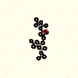 c1ccc(N(c2ccc3c(c2)N(c2cccc(-c4ccc5c(c4)c4cccc(N(c6ccccc6)c6ccc7c(c6)N(c6ccccc6)c6cccc8c6B7c6ccccc6N8c6ccccc6)c4n5-c4ccccc4)c2)c2cccc4c2B3c2ccccc2N4c2ccccc2)c2ccc3c(c2)c2ccccc2n3-c2ccccc2)cc1